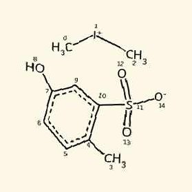 C[I+]C.Cc1ccc(O)cc1S(=O)(=O)[O-]